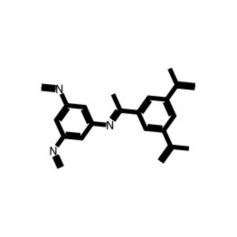 C=Nc1cc(N=C)cc(N=C(C)c2cc(C(=C)C)cc(C(=C)C)c2)c1